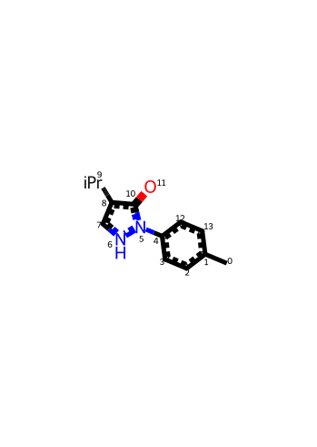 Cc1ccc(-n2[nH]cc(C(C)C)c2=O)cc1